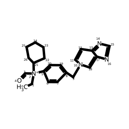 CC[N+](C=O)(c1ccc(Cn2ccc3ncnc-3c2)cc1)C1CCCCC1